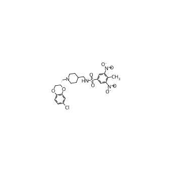 Cc1c([N+](=O)[O-])cc(S(=O)(=O)NCC2CCN(C[C@H]3COc4ccc(Cl)cc4O3)CC2)cc1[N+](=O)[O-]